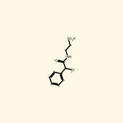 CCC(C(=O)NCCS(=O)(=O)O)c1ccccc1